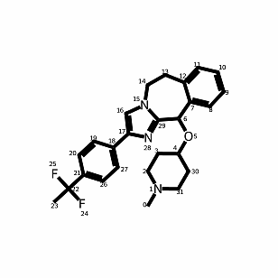 CN1CCC(OC2c3ccccc3CCn3cc(-c4ccc(C(C)(F)F)cc4)nc32)CC1